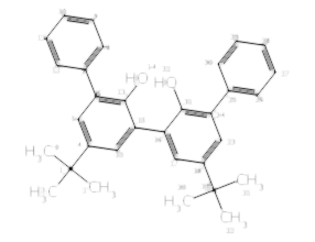 CC(C)(C)c1cc(-c2ccccc2)c(O)c(-c2cc(C(C)(C)C)cc(-c3ccccc3)c2O)c1